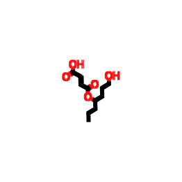 CCCC(CCCO)OC(=O)C=CC(=O)O